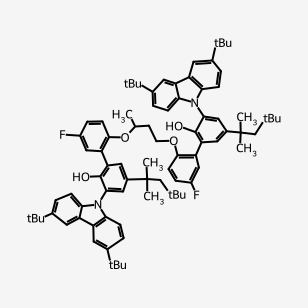 CC(CCOc1ccc(F)cc1-c1cc(C(C)(C)CC(C)(C)C)cc(-n2c3ccc(C(C)(C)C)cc3c3cc(C(C)(C)C)ccc32)c1O)Oc1ccc(F)cc1-c1cc(C(C)(C)CC(C)(C)C)cc(-n2c3ccc(C(C)(C)C)cc3c3cc(C(C)(C)C)ccc32)c1O